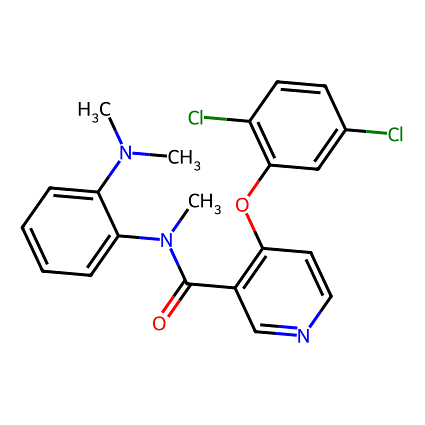 CN(C)c1ccccc1N(C)C(=O)c1cnccc1Oc1cc(Cl)ccc1Cl